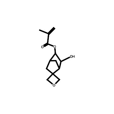 C=C(C)C(=O)OC1C2CC(C1O)C1(COC1)C2